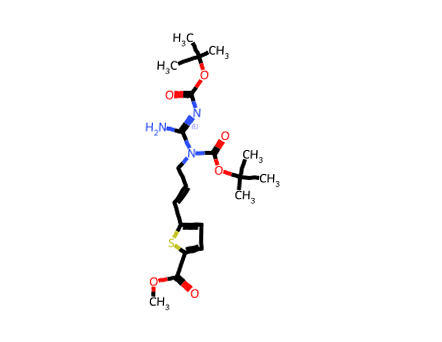 COC(=O)c1ccc(C=CCN(C(=O)OC(C)(C)C)/C(N)=N/C(=O)OC(C)(C)C)s1